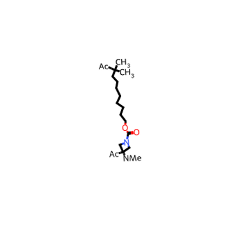 CNC1(C(C)=O)CN(C(=O)OCCCCCCCCC(C)(C)C(C)=O)C1